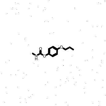 CCCOc1ccc(OC(=O)NC)cc1